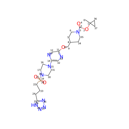 CC1(OC(=O)N2CCC(COc3cnc(N4CCN(S(=O)(=O)CCCc5nnn[nH]5)CC4)cn3)CC2)CC1